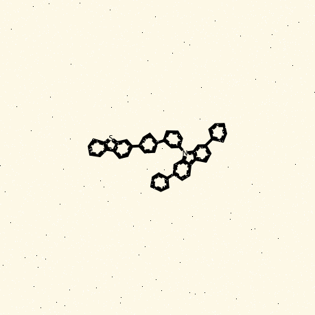 c1ccc(-c2ccc3c4ccc(-c5ccccc5)cc4n(-c4cccc(-c5ccc(-c6ccc7c(c6)sc6ccccc67)cc5)c4)c3c2)cc1